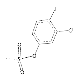 CS(=O)(=O)Oc1ccc(I)c(Cl)c1